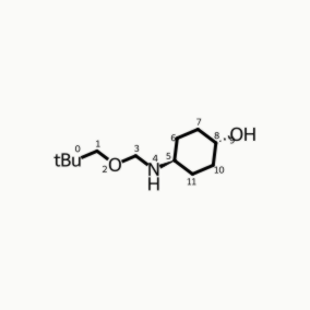 CC(C)(C)COCN[C@H]1CC[C@H](O)CC1